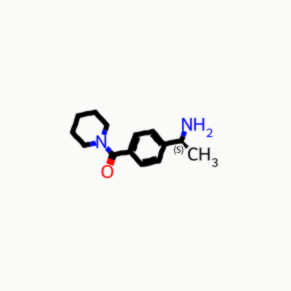 C[C@H](N)c1ccc(C(=O)N2CCCCC2)cc1